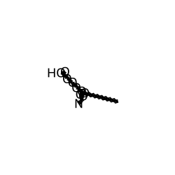 CCCCCCCCCCCCCCCCOP(=O)(OCCC#N)OCCOCCOCCOCCC(=O)O